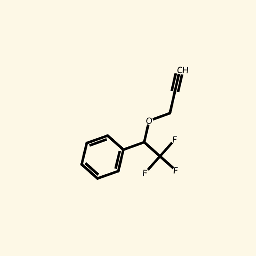 C#CCOC(c1ccccc1)C(F)(F)F